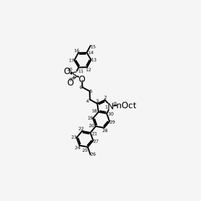 CCCCCCCCn1cc(CCCOS(=O)(=O)c2ccc(C)cc2)c2cc(-c3cccc(C)c3)ccc21